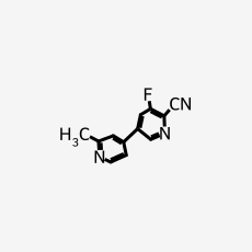 Cc1cc(-c2cnc(C#N)c(F)c2)ccn1